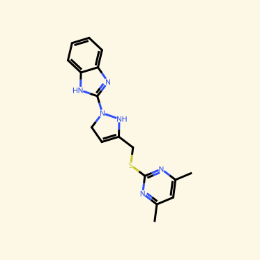 Cc1cc(C)nc(SCC2=CCN(c3nc4ccccc4[nH]3)N2)n1